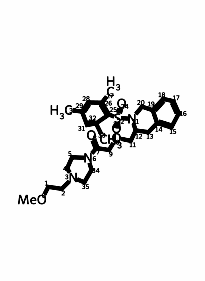 COCCN1CCN(C(=O)COCC2Cc3ccccc3CN2S(=O)(=O)c2c(C)cc(C)cc2C)CC1